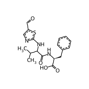 CC(C)C(Nc1ncc(C=O)s1)C(=O)N[C@@H](Cc1ccccc1)C(=O)O